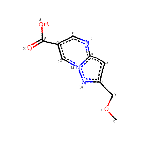 COCc1cc2ncc(C(=O)O)cn2n1